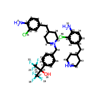 Nc1ccc(CC2CCN(Cc3ccc(C(O)(C(F)(F)F)C(F)(F)F)cc3)CC2)cc1Cl.Nc1ccc(CC2CCNCC2)cc1Cl